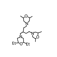 CCC1CN(C[C](CCN2CC(C)OC(C)C2)CCN2CC(C)OC(C)C2)CC(CC)O1